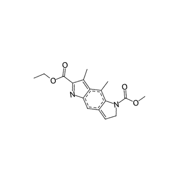 CCOC(=O)C1=Nc2cc3c(c(C)c2=C1C)N(C(=O)OC)CC=3